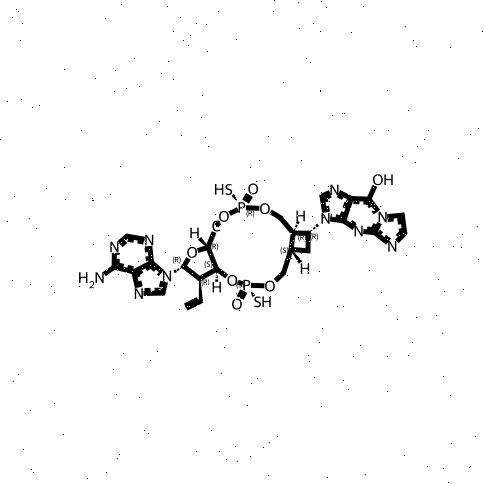 C=C[C@@H]1[C@@H]2O[P@@](=O)(S)OC[C@H]3C[C@@H](n4cnc5c(O)n6ccnc6nc54)[C@@H]3CO[P@@](=O)(S)OC[C@H]2O[C@H]1n1cnc2c(N)ncnc21